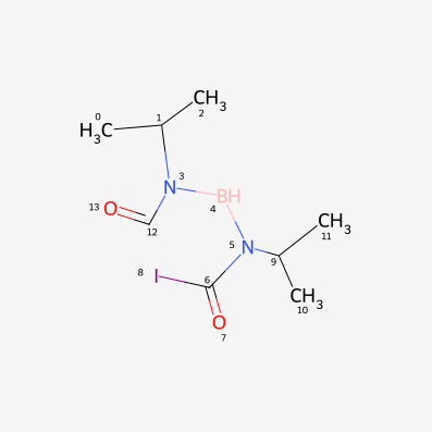 CC(C)N(BN(C(=O)I)C(C)C)C=O